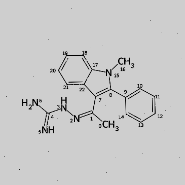 C/C(=N/NC(=N)N)c1c(-c2ccccc2)n(C)c2ccccc12